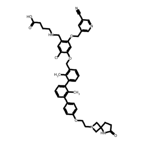 Cc1c(COc2cc(OCc3cncc(C#N)c3)c(CNCCCC(=O)O)cc2Cl)cccc1-c1cccc(-c2ccc(OCCN3CC4(CCC(=O)N4)C3)cc2)c1C